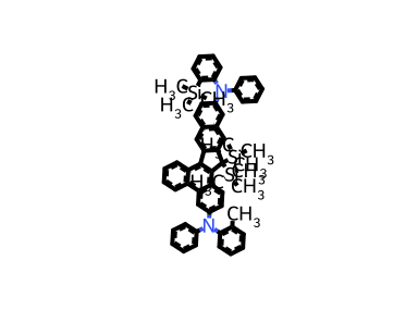 Cc1ccccc1N(c1ccccc1)c1ccc2c3c(c4ccccc4c2c1)-c1cc2ccc(N(c4ccccc4)c4ccccc4[Si](C)(C)C)cc2cc1C3([Si](C)(C)C)[Si](C)(C)C